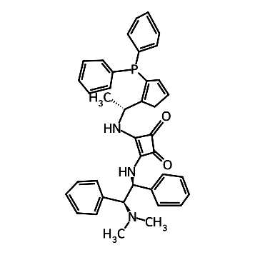 C[C@@H](Nc1c(N[C@@H](c2ccccc2)[C@H](c2ccccc2)N(C)C)c(=O)c1=O)C1=C(P(c2ccccc2)c2ccccc2)C=CC1